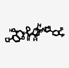 O=C(N[C@H]1C[C@H]2C[C@@H]1C[C@@H]2n1cnc(-c2ccc(F)c(F)c2)c1)[C@H]1C[C@@H](O)c2cc(Cl)ccc2O1